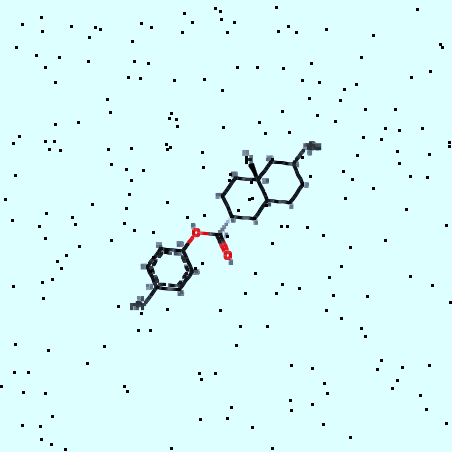 CCCCC1CCC2C[C@H](C(=O)Oc3ccc(CCC)cc3)CC[C@@H]2C1